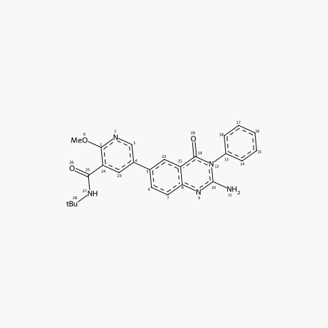 COc1ncc(-c2ccc3nc(N)n(-c4ccccc4)c(=O)c3c2)cc1C(=O)NC(C)(C)C